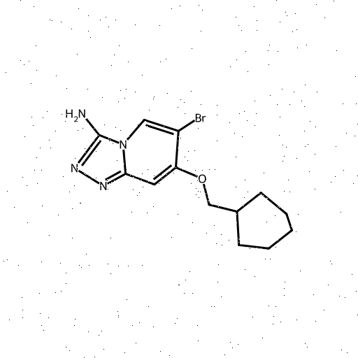 Nc1nnc2cc(OCC3CCCCC3)c(Br)cn12